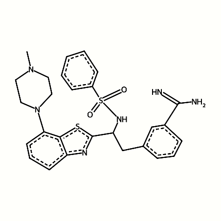 CN1CCN(c2cccc3nc(C(Cc4cccc(C(=N)N)c4)NS(=O)(=O)c4ccccc4)sc23)CC1